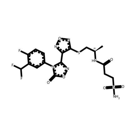 C[C@H](CSc1nonc1-c1noc(=O)n1-c1ccc(F)c(C(F)F)c1)NC(=O)CCS(N)(=O)=O